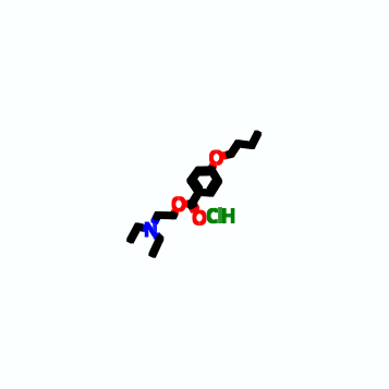 CCCCOc1ccc(C(=O)OCCN(CC)CC)cc1.Cl